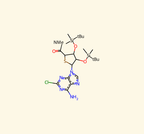 CNC(=O)C1SC(n2cnc3c(N)nc(Cl)nc32)C(O[Si](C)(C)C(C)(C)C)C1O[Si](C)(C)C(C)(C)C